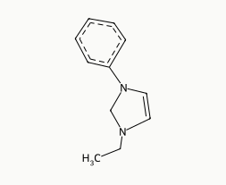 CCN1C=CN(c2ccccc2)C1